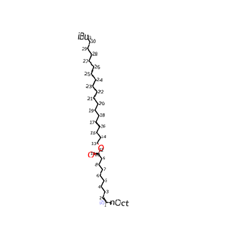 CCCCCCCC/C=C\CCCCCCCC(=O)OCCCCCCCCCCCCCCCCCCC(C)CC